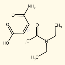 CCN(CC)C(C)=O.NC(=O)/C=C\C(=O)O